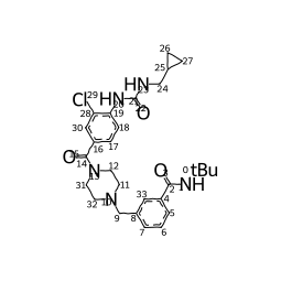 CC(C)(C)NC(=O)c1cccc(CN2CCN(C(=O)c3ccc(NC(=O)NCC4CC4)c(Cl)c3)CC2)c1